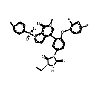 CC[C@@H]1NC(=O)N(c2ccc(Oc3ccc(F)cc3F)c(-c3cn(C)c(=O)c4c3ccn4S(=O)(=O)c3ccc(C)cc3)c2)C1=O